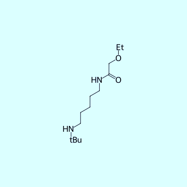 CCOCC(=O)NCCCCCNC(C)(C)C